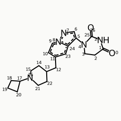 O=C1CCN(c2cnn3ccc(CC4CCN(C5CCC5)CC4)cc23)C(=O)N1